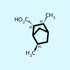 C[C@@H]1CC2CC1[C@H](C(=O)O)[C@@H]2C